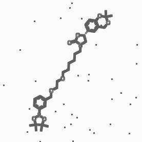 CC1(C)OCc2cc([C@@H]3CN(CCCCCCOCCOCc4cccc(B5OC(C)(C)C(C)(C)O5)c4)C(=O)O3)ccc2O1